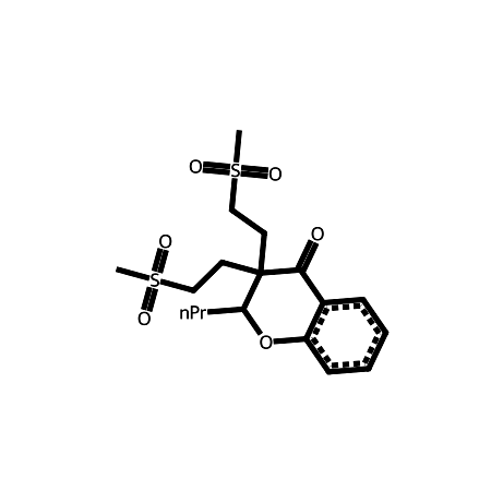 CCCC1Oc2ccccc2C(=O)C1(CCS(C)(=O)=O)CCS(C)(=O)=O